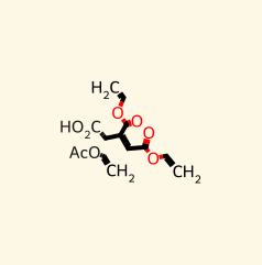 C=COC(=O)/C=C(/CC(=O)O)C(=O)OC=C.C=COC(C)=O